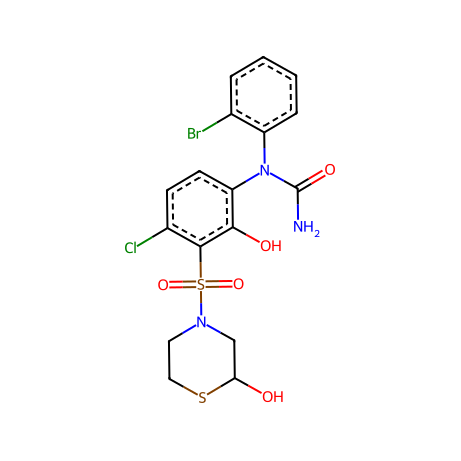 NC(=O)N(c1ccccc1Br)c1ccc(Cl)c(S(=O)(=O)N2CCSC(O)C2)c1O